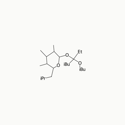 CCC(C)OC(CC)(OC1OC(CC(C)C)C(C)C(C)C1C)C(C)CC